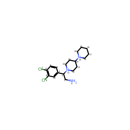 NCC(c1ccc(Cl)c(Cl)c1)N1CCC(N2CCCCC2)CC1